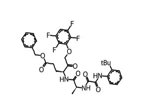 C[C@H](NC(=O)C(=O)Nc1ccccc1C(C)(C)C)C(=O)N[C@@H](CCC(=O)OCc1ccccc1)C(=O)COc1c(F)c(F)cc(F)c1F